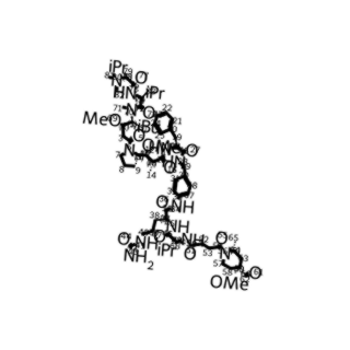 CC[C@H](C)[C@@H]([C@@H](CC(=O)N1CCC[C@H]1[C@H](OC)[C@@H](C)C(=O)N[C@@H](Cc1ccccc1)C(=O)NCc1ccc(NC(=O)[C@H](CCCNC(N)=O)NC(=O)[C@@H](NC(=O)CCC(=O)N2CC[C@@H](C(=O)OC)C[C@H]2C)C(C)C)cc1)OC)N(C)C(=O)[C@@H](NC(=O)[C@H](C(C)C)N(C)C)C(C)C